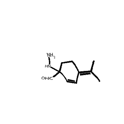 CC(C)=C1C=CC(C=O)(NN)CC1